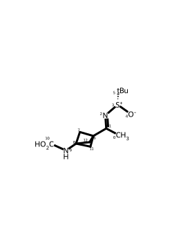 C/C(=N\[S@@+]([O-])C(C)(C)C)C12CC(NC(=O)O)(C1)C2